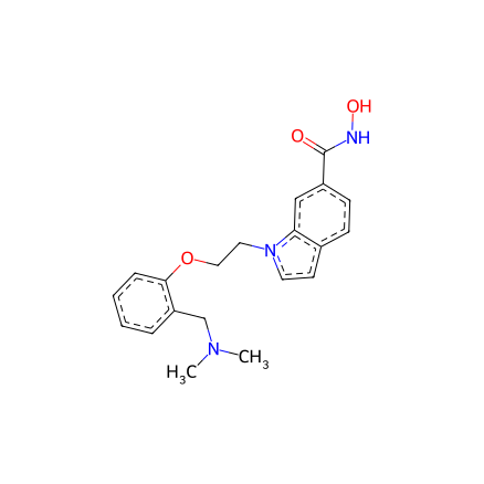 CN(C)Cc1ccccc1OCCn1ccc2ccc(C(=O)NO)cc21